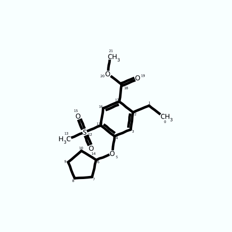 CCc1cc(OC2CCCC2)c(S(C)(=O)=O)cc1C(=O)OC